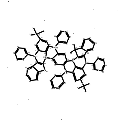 CC(C)(C)c1cc2c3c(c1)N(c1ccccc1)c1cc4c(cc1B3C1=C(c3ccccc3C1(C)C)N2c1ccccc1)N(c1ccccc1)c1cc(C(C)(C)C)cc2c1B4c1sc3ccccc3c1N2c1ccccc1